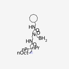 BCC(=O)N(CCNC(=O)CC(/C=C\CCCCCCCC)(CCC)CCC)CC(=O)NCC1CCCCCCCC1